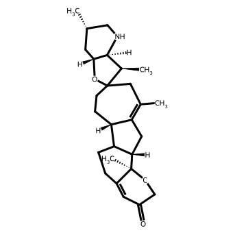 CC1=C2C[C@H]3C(CCC4=CC(=O)CC[C@@]43C)[C@@H]2CCC2(C1)O[C@@H]1C[C@H](C)CN[C@H]1[C@H]2C